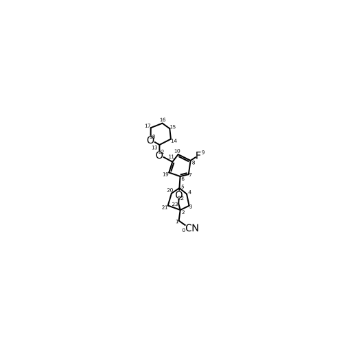 N#CCC12CCC(c3cc(F)cc(OC4CCCCO4)c3)(CC1)OC2